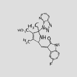 CC1=C(C(=O)O)C(C)(n2nnc3cccnc32)NC1C=C1C(=O)Nc2ccc(F)cc21